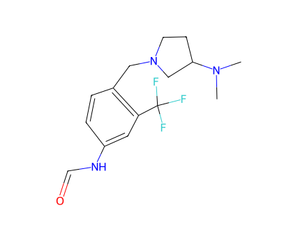 CN(C)C1CCN(Cc2ccc(NC=O)cc2C(F)(F)F)C1